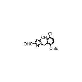 Cc1cc(C=O)nn1Cc1cc(Cl)ccc1OCC(C)C